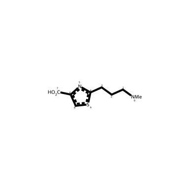 CNCCCc1nc(C(=O)O)cs1